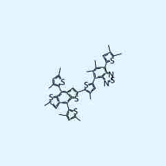 Cc1cc(C)c(-c2c3cc(-c4sc(-c5c(C)c(C)c(-c6cc(C)c(C)s6)c6nsnc56)cc4C)sc3c(-c3sc(C)cc3C)c3cc(C)sc23)s1